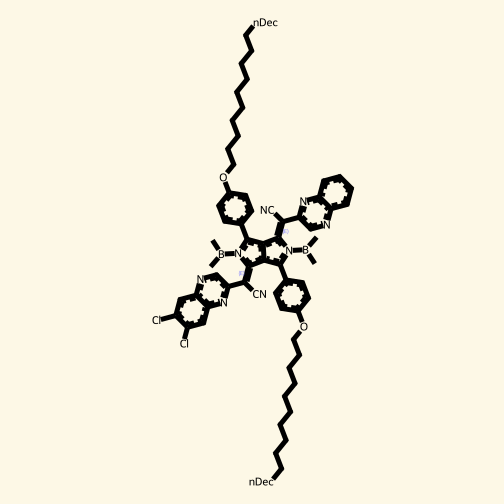 CCCCCCCCCCCCCCCCCCCCOc1ccc(-c2c3/c(=C(\C#N)c4cnc5cc(Cl)c(Cl)cc5n4)n(B(C)C)c(-c4ccc(OCCCCCCCCCCCCCCCCCCCC)cc4)c3/c(=C(\C#N)c3cnc4ccccc4n3)n2B(C)C)cc1